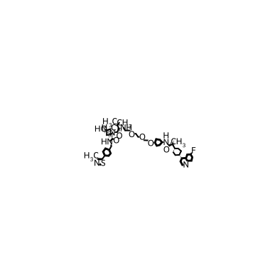 Cc1ncsc1-c1ccc(CNC(=O)[C@@H]2C[C@@H](O)CN2C(=O)[C@@H](NCCOCCOCCOc2ccc(NC(=O)[C@H](C)[C@H]3CC[C@@H](c4ccnc5ccc(F)cc54)CC3)cc2)C(C)(C)C)cc1